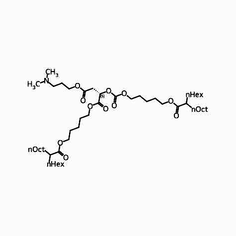 CCCCCCCCC(CCCCCC)C(=O)OCCCCCOC(=O)O[C@@H](CC(=O)OCCCN(C)C)C(=O)OCCCCCOC(=O)C(CCCCCC)CCCCCCCC